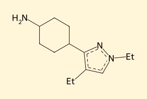 CCc1cn(CC)nc1C1CCC(N)CC1